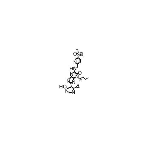 CCC[C@H](C)n1c(=O)c(NCc2ccc(S(=O)(=O)CC)cn2)nc2cnc(-c3c(O)ncnc3C3CC3)nc21